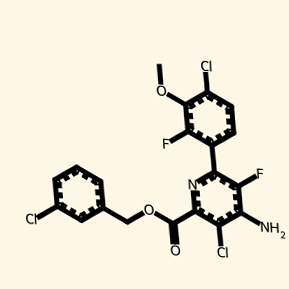 COc1c(Cl)ccc(-c2nc(C(=O)OCc3cccc(Cl)c3)c(Cl)c(N)c2F)c1F